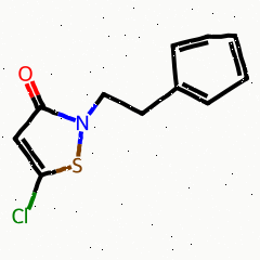 O=c1cc(Cl)sn1CCc1ccccc1